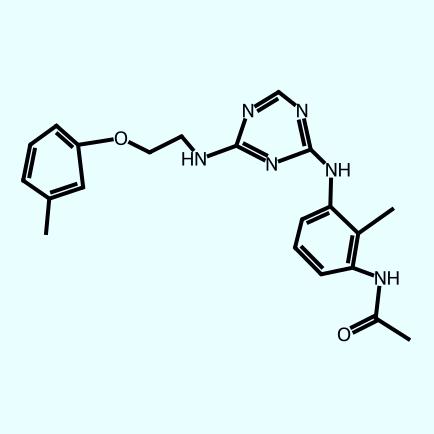 CC(=O)Nc1cccc(Nc2ncnc(NCCOc3cccc(C)c3)n2)c1C